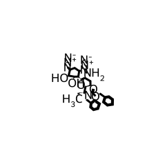 CC[C@H]([C@@H]1CC[C@@H](N)[C@@H](C2C(N=[N+]=[N-])CC(N=[N+]=[N-])[C@H](O)[C@H]2O)O1)N(Cc1ccccc1)C(=O)OCc1ccccc1